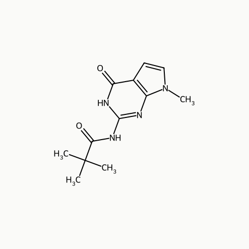 Cn1ccc2c(=O)[nH]c(NC(=O)C(C)(C)C)nc21